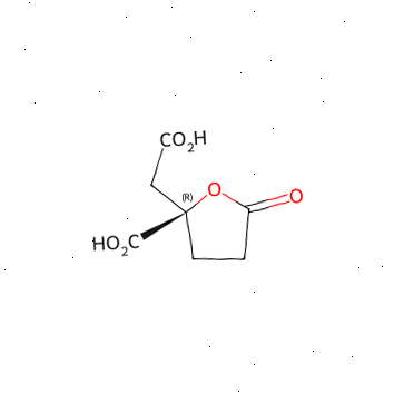 O=C(O)C[C@@]1(C(=O)O)CCC(=O)O1